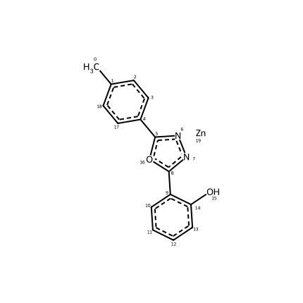 Cc1ccc(-c2nnc(-c3ccccc3O)o2)cc1.[Zn]